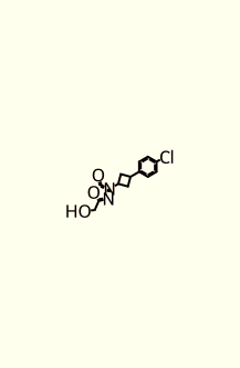 O=c1oc(CO)nn1C1CC(c2ccc(Cl)cc2)C1